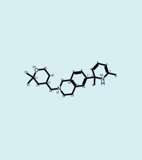 CC1=CC=CC(C)(c2ccc3c(c2)CCN(CC2CCOC(C)(C)C2)C3)N1